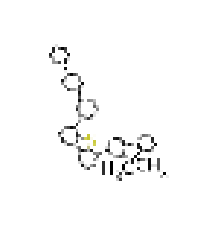 CC1(C)c2ccccc2-c2ccc(-c3cccc4c3sc3c(-c5cccc(-c6ccc(-c7ccccc7)cc6)c5)cccc34)cc21